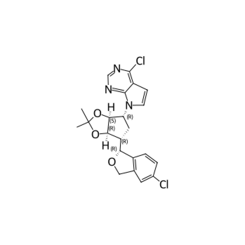 CC1(C)O[C@@H]2[C@@H]([C@H]3OCc4cc(Cl)ccc43)C[C@@H](n3ccc4c(Cl)ncnc43)[C@@H]2O1